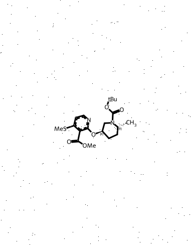 COC(=O)c1c(SC)ccnc1O[C@@H]1CC[C@@H](C)N(C(=O)OC(C)(C)C)C1